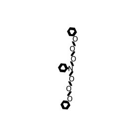 c1ccc(OCCOCCOCCN(CCOCCOCCOc2ccccc2)c2ccccc2)cc1